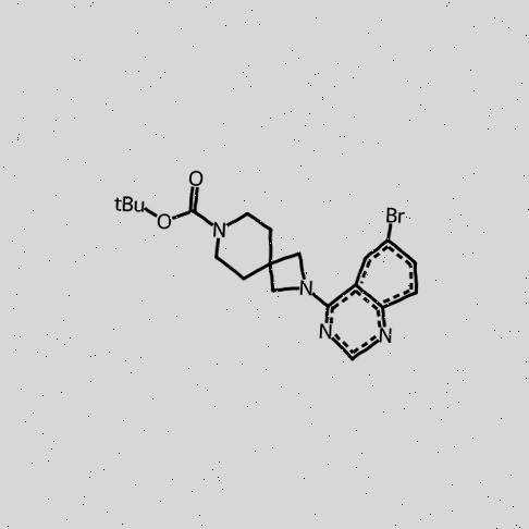 CC(C)(C)OC(=O)N1CCC2(CC1)CN(c1ncnc3ccc(Br)cc13)C2